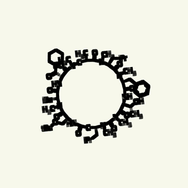 CC[C@H](C)C1C(=O)N[C@H](C(=O)N2CCCCC2)C(=O)N(C)C[C@@H](C)C(=O)N(C)[C@@H](CC(C)C)C(=O)N(C)[C@@H](Cc2ccccc2)C(=O)N[C@@H]([C@@H](C)O)C(=O)N(C)C(=O)N(C)[C@@H](CC(C)C)CC(=O)N[C@@H](COC(C)(C)C)C(=O)N1C